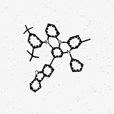 Cc1ccc2c(c1)N(c1ccccc1)c1cc(-c3ccc4c(c3)oc3ccccc34)cc3c1B2c1ccccc1N3c1cc(C(C)(C)C)cc(C(C)(C)C)c1